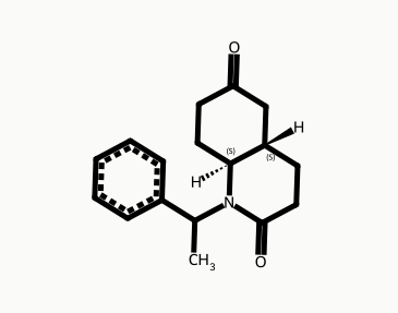 CC(c1ccccc1)N1C(=O)CC[C@H]2CC(=O)CC[C@@H]21